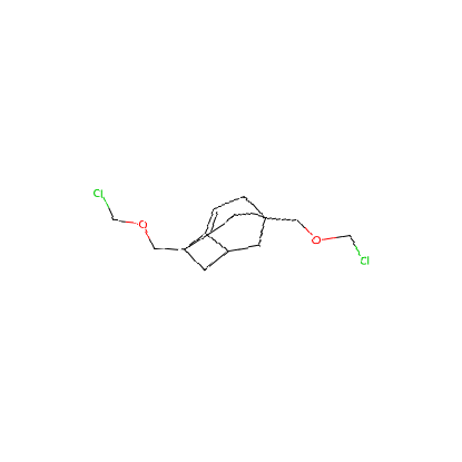 ClCOCC12CC=C3C(C1)CC3(COCCl)C2